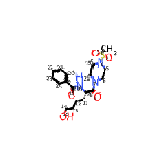 CS(=O)(=O)N1CCN(C(=O)[C@H](CCCCO)NC(=O)c2ccccc2)CC1